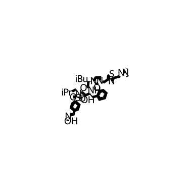 CC[C@H](C)[C@@H](C(=O)N[C@@H](Cc1ccccc1)[C@H](O)CN(CC(C)C)S(=O)(=O)c1ccc(/C=N/O)cc1)N1CCN(Cc2csc(/C=N/N(C)C)n2)C1=O